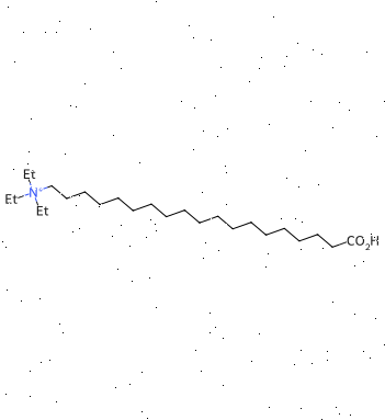 CC[N+](CC)(CC)CCCCCCCCCCCCCCCCCCC(=O)O